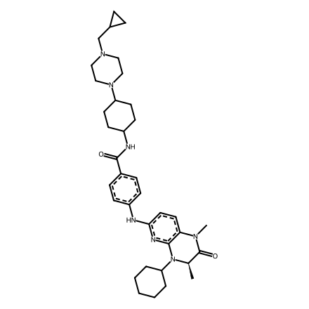 C[C@@H]1C(=O)N(C)c2ccc(Nc3ccc(C(=O)NC4CCC(N5CCN(CC6CC6)CC5)CC4)cc3)nc2N1C1CCCCC1